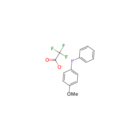 COc1ccc([I+]c2ccccc2)cc1.O=C([O-])C(F)(F)F